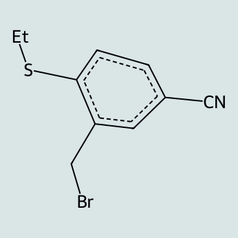 CCSc1ccc(C#N)cc1CBr